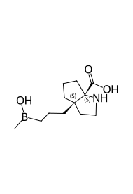 CB(O)CCC[C@@]12CCC[C@]1(C(=O)O)NCC2